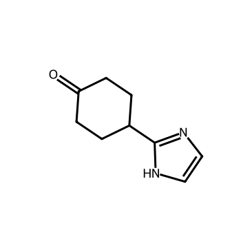 O=C1CCC(c2ncc[nH]2)CC1